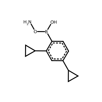 NOB(O)c1ccc(C2CC2)cc1C1CC1